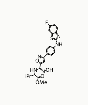 COC(=O)C(NC(=NO)c1cc(-c2ccc(Nc3nc4ccc(F)cc4s3)cc2)no1)C(C)C